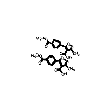 COC(=O)c1ccc(-c2onc(C)c2C(=O)O)cc1.COC(=O)c1ccc(-c2onc(C)c2C(=O)O)cc1